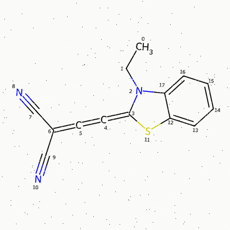 CCN1C(=C=C=C(C#N)C#N)Sc2ccccc21